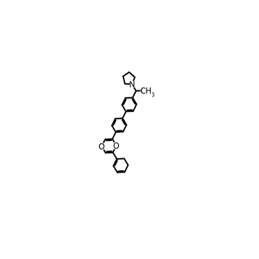 CC(c1ccc(-c2ccc(C3=COC=C(C4=CC=CCC4)O3)cc2)cc1)N1CCCC1